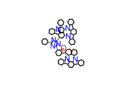 c1ccc(-c2nc(-c3cccc4c3oc3cccc(-n5c6ccccc6c6ccc7c8ccccc8n(-c8ccccc8)c7c65)c34)nc(-c3cc(-n4c5ccccc5c5ccc6c7ccccc7n(-c7ccccc7)c6c54)cc4c3c3ccccc3n4-c3ccccc3)n2)cc1